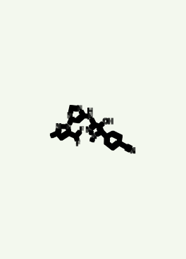 Cc1cc(C(F)F)n(-c2cc(Nc3nn(C)c(-c4ccc(C#N)cc4)c3O)ncn2)n1